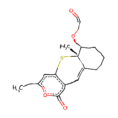 Cc1cc2c(c(=O)o1)C=C1CCC[C@H](OC=O)[C@@]1(C)S2